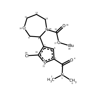 CN(C)C(=O)c1cc(C2COCCCN2C(=O)OC(C)(C)C)c(Cl)s1